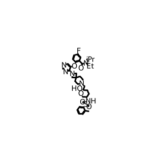 CCN(C(=O)c1cc(F)ccc1Oc1cncnc1N1CC2(CCN(C[C@@]3(O)CC[C@@H](NS(=O)(=O)c4ccccc4C)CO3)CC2)C1)C(C)C